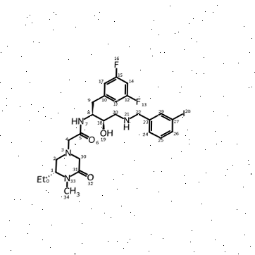 CC[C@@H]1CN(CC(=O)N[C@@H](Cc2cc(F)cc(F)c2)[C@H](O)CNCc2cccc(I)c2)CC(=O)N1C